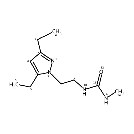 CCc1cc(CC)n(CCNC(=O)NC)n1